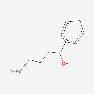 CCCCCCCCCC(O)c1ccccc1